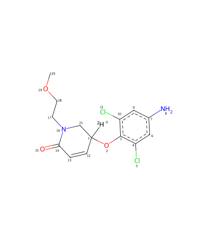 [2H]C1(Oc2c(Cl)cc(N)cc2Cl)C=CC(=O)N(CCOC)C1